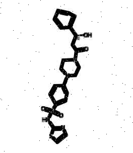 O=C(C[C@@H](O)c1ccccc1)N1CCN(c2ccc(S(=O)(=O)Nc3nccs3)cc2)CC1